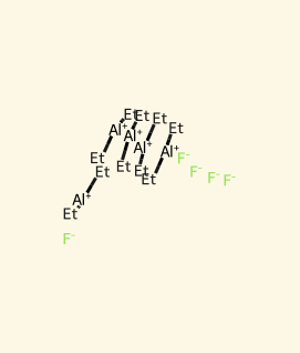 C[CH2][Al+][CH2]C.C[CH2][Al+][CH2]C.C[CH2][Al+][CH2]C.C[CH2][Al+][CH2]C.C[CH2][Al+][CH2]C.[F-].[F-].[F-].[F-].[F-]